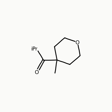 CC(C)C(=O)C1(C)CCOCC1